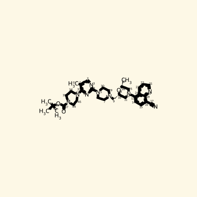 Cc1cnc(N2CCN(C[C@H]3CN(c4ccc(C#N)c5ncccc45)C[C@@H](C)O3)CC2)nc1N1CCN(C(=O)OC(C)(C)C)CC1